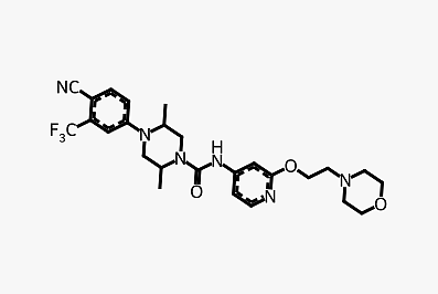 CC1CN(c2ccc(C#N)c(C(F)(F)F)c2)C(C)CN1C(=O)Nc1ccnc(OCCN2CCOCC2)c1